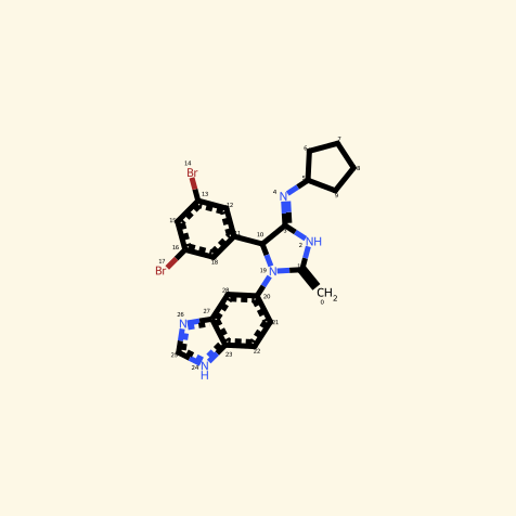 C=C1N/C(=N\C2CCCC2)C(c2cc(Br)cc(Br)c2)N1c1ccc2[nH]cnc2c1